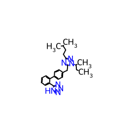 CCC(C)n1nc(CCC(C)C)nc1Cc1ccc(-c2ccccc2-c2nnn[nH]2)cc1